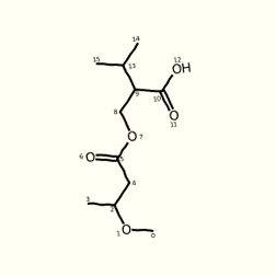 COC(C)CC(=O)OCC(C(=O)O)C(C)C